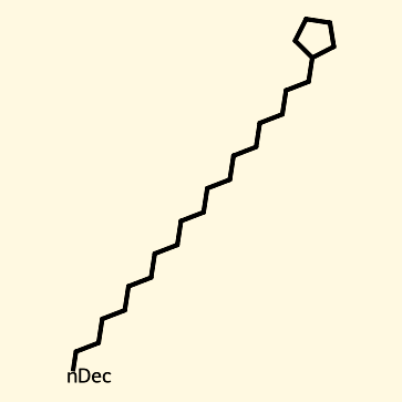 CCCCCCCCCCCCCCCCCCCCCCCCCCCCC1CCCC1